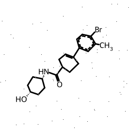 Cc1cc(C2=CCC(C(=O)N[C@H]3CC[C@@H](O)CC3)CC2)ccc1Br